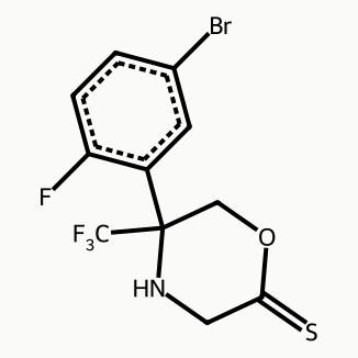 Fc1ccc(Br)cc1C1(C(F)(F)F)COC(=S)CN1